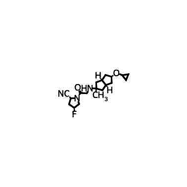 C[C@@]1(NCC(=O)N2C[C@@H](F)C[C@H]2C#N)C[C@H]2C[C@@H](OC3CC3)C[C@H]2C1